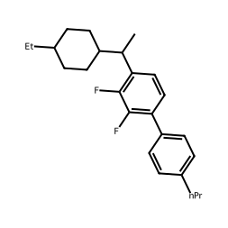 CCCc1ccc(-c2ccc(C(C)C3CCC(CC)CC3)c(F)c2F)cc1